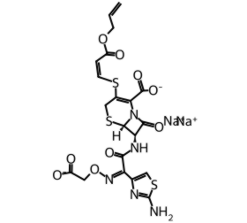 C=CCOC(=O)/C=C\SC1=C(C(=O)[O-])N2C(=O)[C@@H](NC(=O)/C(=N\OCC(=O)[O-])c3csc(N)n3)[C@@H]2SC1.[Na+].[Na+]